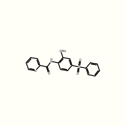 COc1cc(S(=O)(=O)c2ccccc2)ccc1NC(=O)c1ccccn1